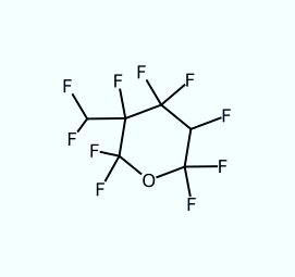 FC1C(F)(F)OC(F)(F)C(F)(C(F)F)C1(F)F